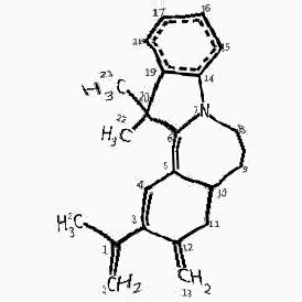 C=C(C)C1=CC2=C3N(CCC2CC1=C)c1ccccc1C3(C)C